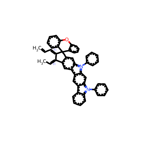 C=C/C=C1\C(=C/C)c2cc3c4cc5c6ccccc6n(-c6ccccc6)c5cc4n(-c4ccccc4)c3cc2C12c1ccccc1Oc1ccccc12